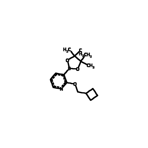 CC1(C)OB(c2cccnc2OCC2CCC2)OC1(C)C